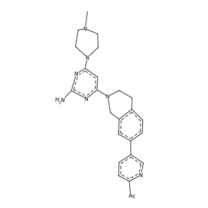 CC(=O)c1ccc(-c2ccc3c(c2)CN(c2cc(N4CCN(C)CC4)nc(N)n2)CC3)cn1